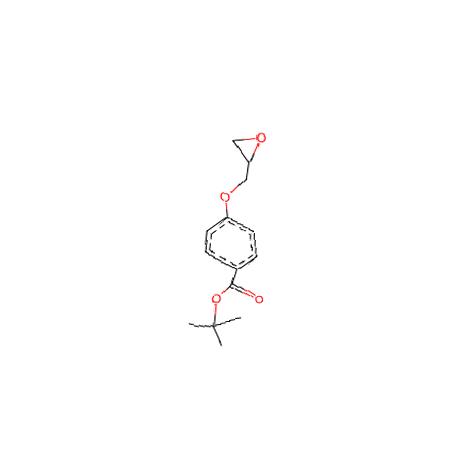 CC(C)(C)OC(=O)c1ccc(OCC2CO2)cc1